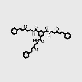 O=C(/C=C/c1ccccc1)CCNC(=O)c1cc(C(=O)NCCC(=O)/C=C/c2ccccc2)cc(C(=O)NCCC(=O)/C=C/c2ccccc2)c1